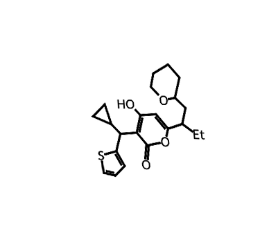 CCC(CC1CCCCO1)c1cc(O)c(C(c2cccs2)C2CC2)c(=O)o1